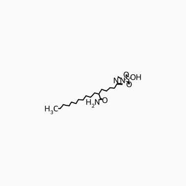 CCCCCCCCCCCC(CCCCc1cn(S(=O)(=O)O)cn1)C(N)=O